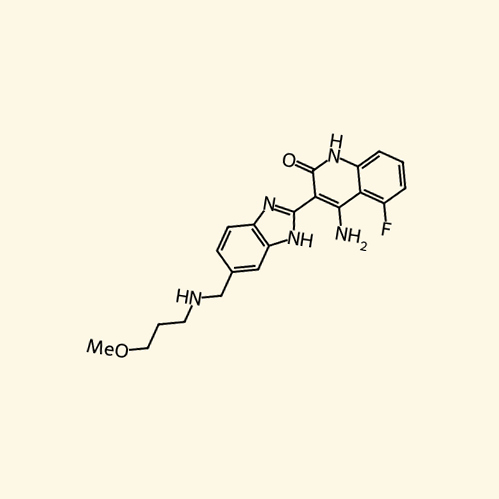 COCCCNCc1ccc2nc(-c3c(N)c4c(F)cccc4[nH]c3=O)[nH]c2c1